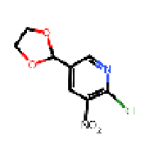 O=[N+]([O-])c1cc(C2OCCO2)cnc1Cl